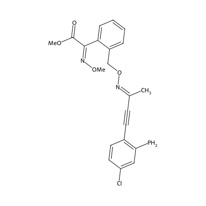 CO/N=C(/C(=O)OC)c1ccccc1CO/N=C(\C)C#Cc1ccc(Cl)cc1P